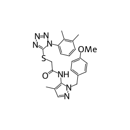 COc1ccc(Cn2ncc(C)c2NC(=O)CSc2nnnn2-c2cccc(C)c2C)cc1